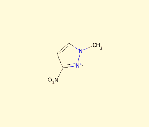 CN1C=CC([N+](=O)[O-])=[N+]1